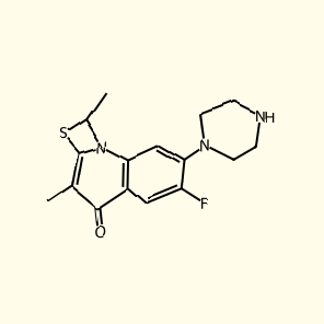 Cc1c2n(c3cc(N4CCNCC4)c(F)cc3c1=O)C(C)S2